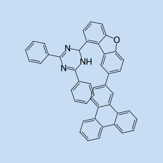 c1ccc(C2=NC(c3cccc4oc5ccc(-c6ccc7c8ccccc8c8ccccc8c7c6)cc5c34)NC(c3ccccc3)=N2)cc1